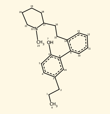 CCCc1ccc(O)c(-c2ccccc2CCC2CCCCN2C)c1